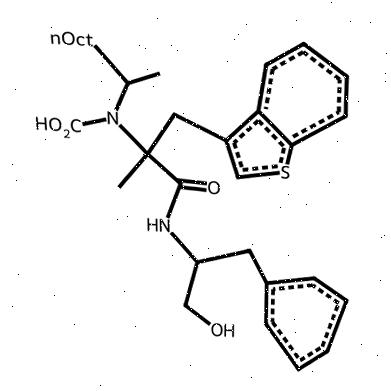 CCCCCCCCC(C)N(C(=O)O)C(C)(Cc1csc2ccccc12)C(=O)NC(CO)Cc1ccccc1